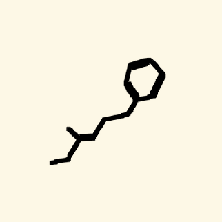 CC/C(C)=C/CCc1ccccc1